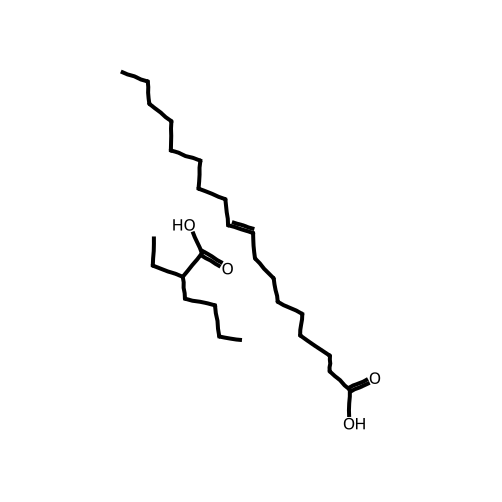 CCCCC(CC)C(=O)O.CCCCCCCCC=CCCCCCCCC(=O)O